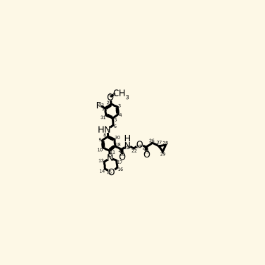 COc1ccc(CNc2ccc(N3CCOCC3)c(C(=O)NCOC(=O)CC3CC3)c2)cc1F